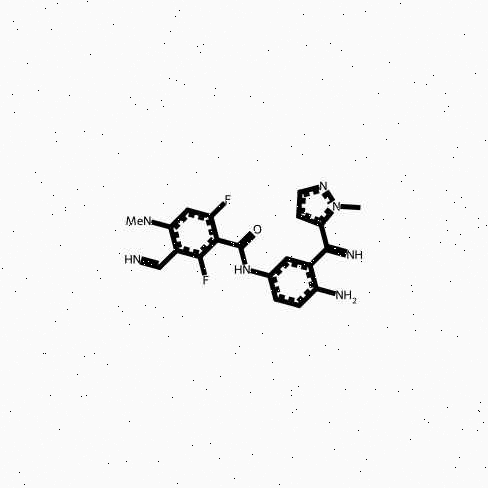 CNc1cc(F)c(C(=O)Nc2ccc(N)c(C(=N)c3ccnn3C)c2)c(F)c1C=N